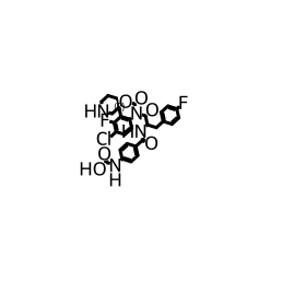 O=C(O)Nc1ccc(C(=O)NC(Cc2ccc(F)cc2)C(=O)N2C(=O)O[C@]3(CCCNC3)c3c2ccc(Cl)c3F)cc1